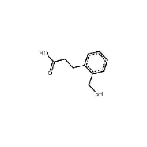 O=C(O)CCc1ccccc1CS